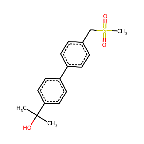 CC(C)(O)c1ccc(-c2ccc(CS(C)(=O)=O)cc2)cc1